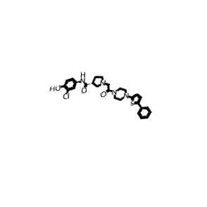 O=C(Nc1ccc(O)c(Cl)c1)[C@@H]1CCN(CC(=O)N2CCN(c3ccc(-c4ccccc4)s3)CC2)C1